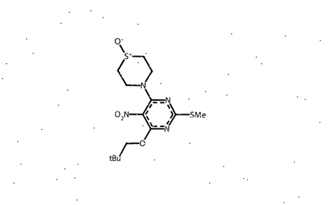 CSc1nc(OCC(C)(C)C)c([N+](=O)[O-])c(N2CC[S+]([O-])CC2)n1